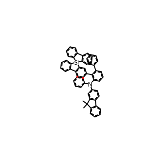 CC1(C)c2ccccc2-c2ccc(N(c3ccccc3)c3cccc(-c4ccccc4)c3-c3ccc4c(c3)[Si]3(c5ccccc5-c5ccccc53)c3ccccc3-4)cc21